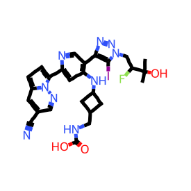 CC(C)(O)C(F)Cn1nnc(-c2cnc(-c3ccc4cc(C#N)cnn34)cc2NC2CC(CNC(=O)O)C2)c1I